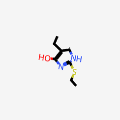 CCSC1=NC(O)=C(CC)[CH]N1